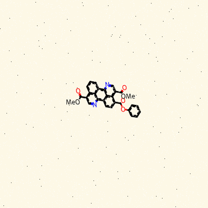 COC(=O)c1cnc2c3ccc(C(=O)Oc4ccccc4)c4c(C(=O)OC)cnc(c5cccc1c52)c43